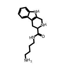 NCCCCNC(=O)C1Cc2c([nH]c3ccccc23)CN1